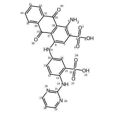 Nc1c(S(=O)(=O)O)cc(Nc2ccc(Nc3ncccn3)c(S(=O)(=O)O)c2)c2c1C(=O)c1ccccc1C2=O